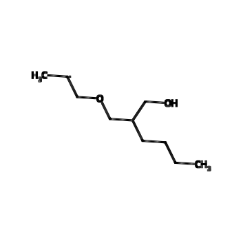 C[CH]COCC(CO)CCCC